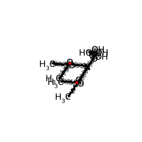 CCCCCCCCC(CCCCCCCC)C(=O)OCCCCCCCN(CCCCCCCOC(=O)C(CCCCCCCC)CCCCCCCC)CCCCO[C@H]1O[C@H](CO)[C@@H](O)[C@H](O)[C@@H]1O